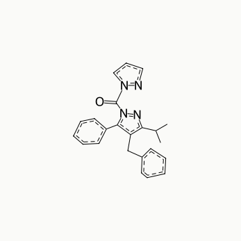 CC(C)c1nn(C(=O)n2cccn2)c(-c2ccccc2)c1Cc1ccccc1